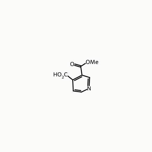 COC(=O)c1cnccc1C(=O)O